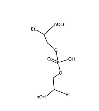 CCCCCCCCC(CC)COP(=O)(O)OCC(CC)CCCCCCCC